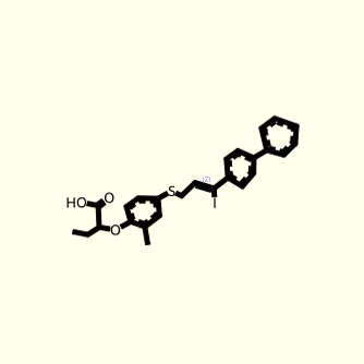 CCC(Oc1ccc(SC/C=C(\I)c2ccc(-c3ccccc3)cc2)cc1C)C(=O)O